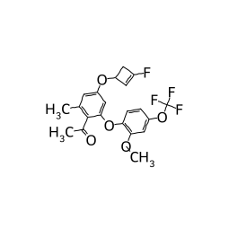 COc1cc(OC(F)(F)F)ccc1Oc1cc(OC2C=C(F)C2)cc(C)c1C(C)=O